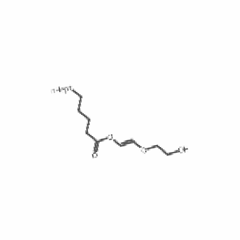 CCCCCCCCCCCC(=O)OC=COCCO